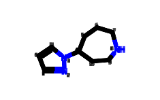 c1cnn(C2CCCNCC2)c1